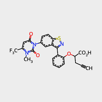 C#CCC(Oc1ccccc1-c1nsc2ccc(-n3c(=O)cc(C(F)(F)F)n(C)c3=O)cc12)C(=O)O